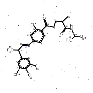 CC(CCC(=O)c1ccc(/C=C/C(c2cc(Cl)c(Cl)c(Cl)c2)C(F)(F)F)cc1Cl)C(=O)NC(C(F)(F)F)C(F)(F)F